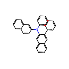 c1ccc(-c2cc3ccccc3cc2N(c2ccccc2)c2ccc3ccccc3c2)cc1